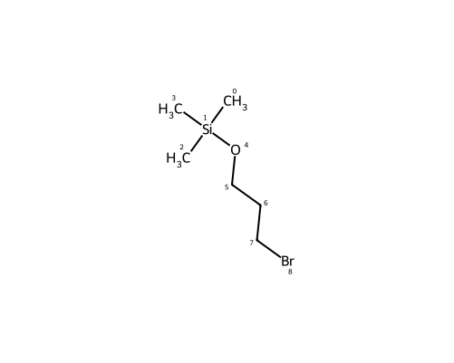 C[Si](C)(C)OCCCBr